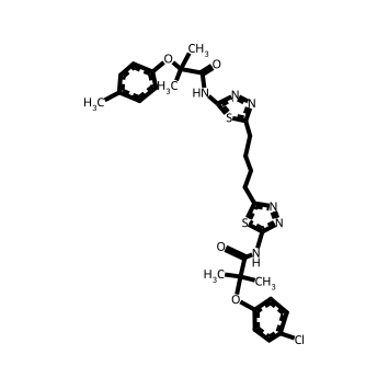 Cc1ccc(OC(C)(C)C(=O)Nc2nnc(CCCCc3nnc(NC(=O)C(C)(C)Oc4ccc(Cl)cc4)s3)s2)cc1